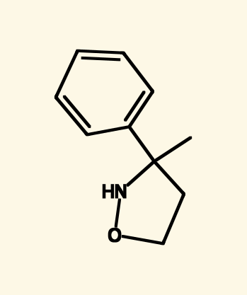 CC1(c2ccccc2)CCON1